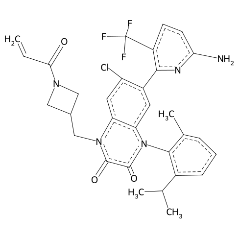 C=CC(=O)N1CC(Cn2c(=O)c(=O)n(-c3c(C)cccc3C(C)C)c3cc(-c4nc(N)ccc4C(F)(F)F)c(Cl)cc32)C1